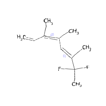 C=C/C(C)=C(C)\C=C(/C)C(C)(F)F